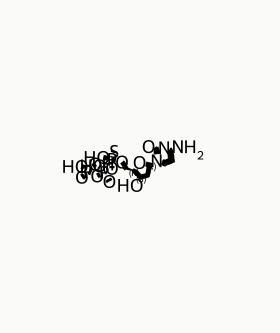 Nc1ccn([C@H]2C[C@H](O)[C@@H](COP(O)(=S)OP(=O)(O)OP(=O)(O)O)O2)c(=O)n1